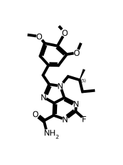 CC[C@H](C)Cn1c(Cc2cc(OC)c(OC)c(OC)c2)nc2c(C(N)=O)nc(F)nc21